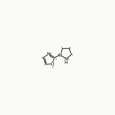 c1coc(N2CCCN2)n1